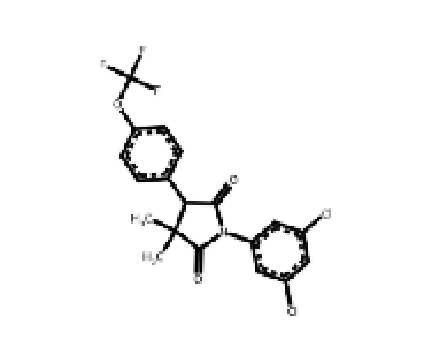 CC1(C)C(=O)N(c2cc(Cl)cc(Cl)c2)C(=O)C1c1ccc(OC(F)(F)F)cc1